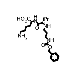 CC(C)[C@H](NCCCNC(=O)OCc1ccccc1)C(=O)N[C@@H](CCCCN)C(=O)O